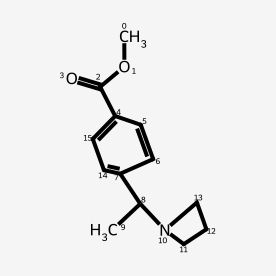 COC(=O)c1ccc(C(C)N2CCC2)cc1